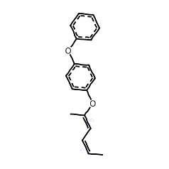 C/C=C\C=C(/C)Oc1ccc(Oc2ccccc2)cc1